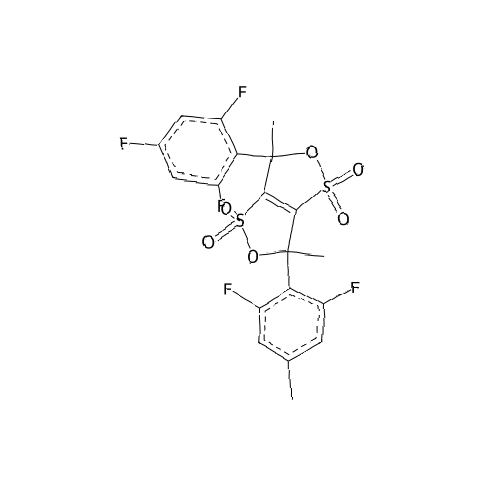 Cc1cc(F)c(C2(C)OS(=O)(=O)C3=C2S(=O)(=O)OC3(C)c2c(F)cc(F)cc2F)c(F)c1